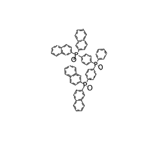 O=P(c1ccccc1)(c1ccc(P(=O)(c2ccc3ccccc3c2)c2ccc3ccccc3c2)cc1)c1ccc(P(=O)(c2ccc3ccccc3c2)c2ccc3ccccc3c2)cc1